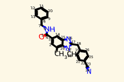 Cc1cc(C(=O)NCc2ccccc2)cc2nc(Cc3ccc(C#N)cc3)n(C)c12